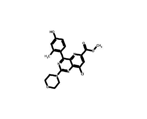 COC(=O)c1cc(Cl)c2nc(N3CCOCC3)nc(-c3ccc(O)cc3C)c2n1